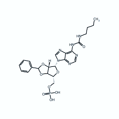 CCCCNC(=O)Nc1ncnc2c1ncn2[C@@H]1O[C@H](COP(=O)(O)O)C2OC(c3ccccc3)O[C@@H]21